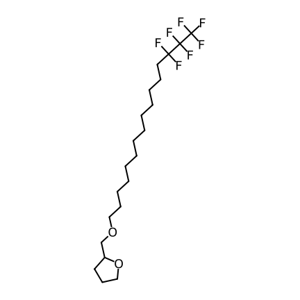 FC(F)(F)C(F)(F)C(F)(F)CCCCCCCCCCCCCOCC1CCCO1